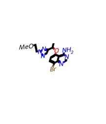 COCCn1ncc(C(C)Oc2ccc(Br)c3ncnc(N)c23)n1